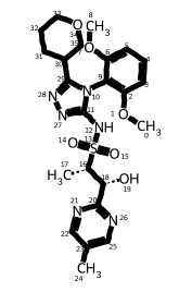 COc1cccc(OC)c1-n1c(NS(=O)(=O)[C@@H](C)[C@H](O)c2ncc(C)cn2)nnc1C1CCCOC1